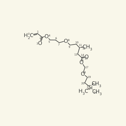 C=CC(=O)OCCCOCC[C@@H](C)CC(=O)OCOCC[Si](C)(C)C